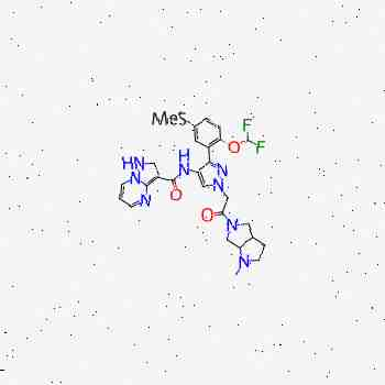 CSc1ccc(OC(F)F)c(-c2nn(CC(=O)N3CC4CCN(C)C4C3)cc2NC(=O)C2=C3N=CC=CN3NC2)c1